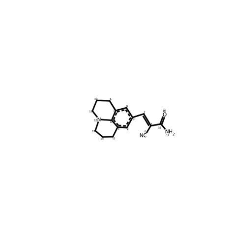 N#C/C(=C\c1cc2c3c(c1)CCCN3CCC2)C(N)=O